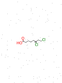 O=C(O)CCCC[C@H](Cl)CCCl